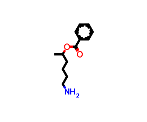 CC(CCCCN)OC(=O)c1ccccc1